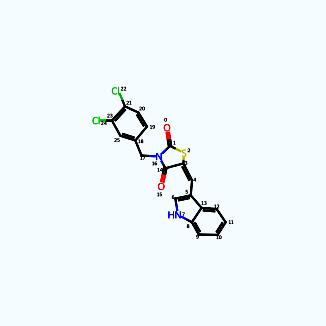 O=C1S/C(=C/c2c[nH]c3ccccc23)C(=O)N1Cc1ccc(Cl)c(Cl)c1